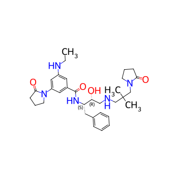 CCNc1cc(C(=O)N[C@@H](Cc2ccccc2)[C@H](O)CNCC(C)(C)CN2CCCC2=O)cc(N2CCCC2=O)c1